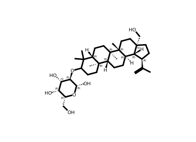 C=C(C)[C@@H]1CC[C@]2(CO)CC[C@]3(C)[C@H](CC[C@@H]4[C@@]5(C)CCC(O[C@@H]6[C@@H](O)[C@@H](O)[C@@H](CO)O[C@H]6O)C(C)(C)[C@@H]5CC[C@]43C)[C@@H]12